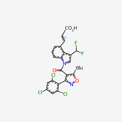 CC(C)(C)c1onc(-c2c(Cl)cc(Cl)cc2Cl)c1C(=O)n1cc(C(F)F)c2c(/C=C/C(=O)O)cccc21